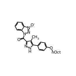 CCCCCCCCOc1ccc(-c2[nH]nc(C(=O)n3n[n+]([O-])c4ccccc43)c2C)cc1